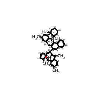 CC1=C(NC2=C(/C)c3ccc(C)cc3CC/C=C\2c2cc3ccccc3c3c2Bc2cc(C)cc4c2N3C2(C)CCCCC42C)CC=C1